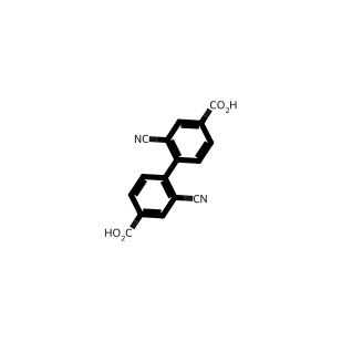 N#Cc1cc(C(=O)O)ccc1-c1ccc(C(=O)O)cc1C#N